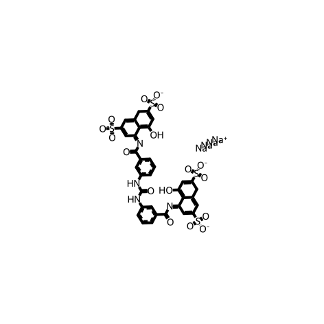 O=C(Nc1cccc(C(=O)N=C2C=C(S(=O)(=O)[O-])C=C3CC(S(=O)(=O)[O-])=CC(O)=C32)c1)Nc1cccc(C(=O)N=C2C=C(S(=O)(=O)[O-])C=C3CC(S(=O)(=O)[O-])=CC(O)=C32)c1.[Na+].[Na+].[Na+].[Na+]